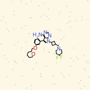 Nc1ncnc2c1c(-c1cccc(OCC3CCCCO3)c1)cn2C1CC(CN2CCC(F)(F)CC2)C1